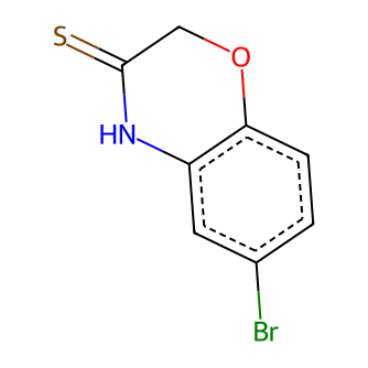 S=C1COc2ccc(Br)cc2N1